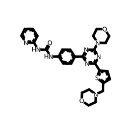 O=C(Nc1ccc(-c2nc(-c3ccc(CN4CCOCC4)s3)nc(N3CCOCC3)n2)cc1)Nc1ccccn1